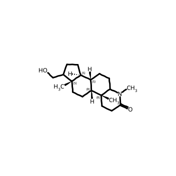 CN1C(=O)CC[C@@]2(C)C1CC[C@@H]1[C@H]2CC[C@]2(C)C(CO)CC[C@@H]12